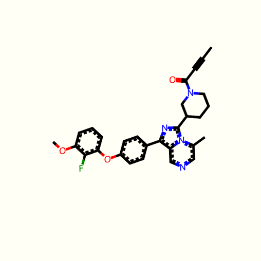 CC#CC(=O)N1CCCC(c2nc(-c3ccc(Oc4cccc(OC)c4F)cc3)c3cncc(C)n23)C1